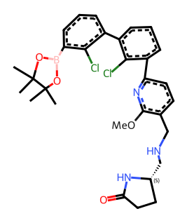 COc1nc(-c2cccc(-c3cccc(B4OC(C)(C)C(C)(C)O4)c3Cl)c2Cl)ccc1CNC[C@@H]1CCC(=O)N1